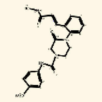 COc1ccc(NC(=O)N2CCN(c3ccccc3/C=C/C(=O)NO)C(=O)C2)cc1